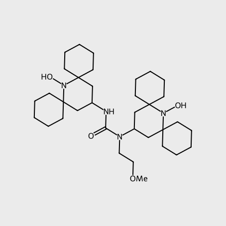 COCCN(C(=O)NC1CC2(CCCCC2)N(O)C2(CCCCC2)C1)C1CC2(CCCCC2)N(O)C2(CCCCC2)C1